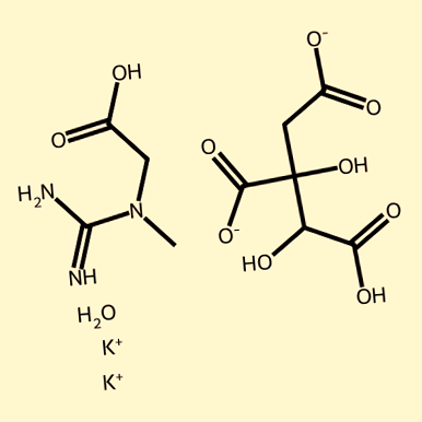 CN(CC(=O)O)C(=N)N.O.O=C([O-])CC(O)(C(=O)[O-])C(O)C(=O)O.[K+].[K+]